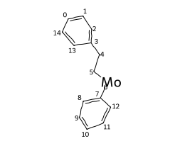 c1ccc(C[CH2][Mo][c]2ccccc2)cc1